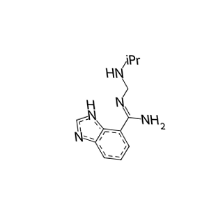 CC(C)NCN=C(N)c1cccc2nc[nH]c12